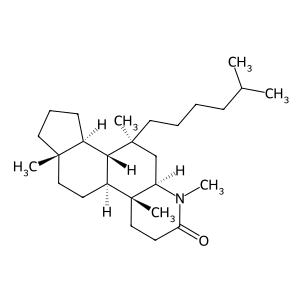 CC(C)CCCC[C@@]1(C)C[C@H]2N(C)C(=O)CC[C@]2(C)[C@H]2CC[C@]3(C)CCC[C@H]3[C@@H]21